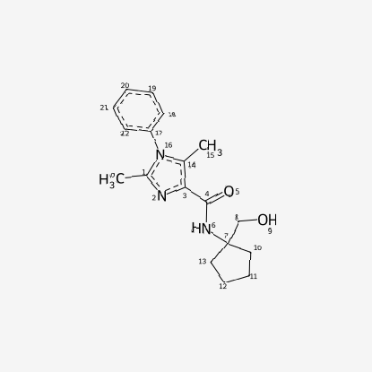 Cc1nc(C(=O)NC2(CO)CCCC2)c(C)n1-c1ccccc1